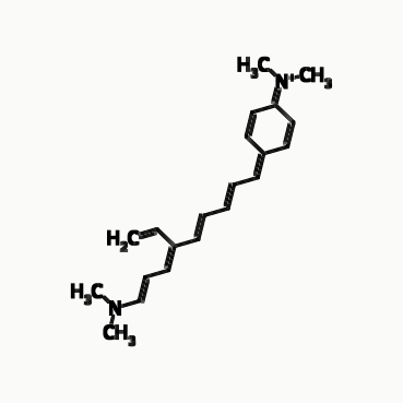 C=CC(/C=C/C=C/C=C1C=CC(=[N+](C)C)C=C1)=C\C=C\N(C)C